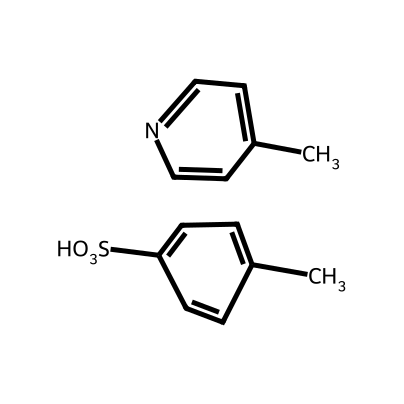 Cc1ccc(S(=O)(=O)O)cc1.Cc1ccncc1